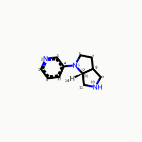 c1cncc(N2CCC3CNC[C@@H]32)c1